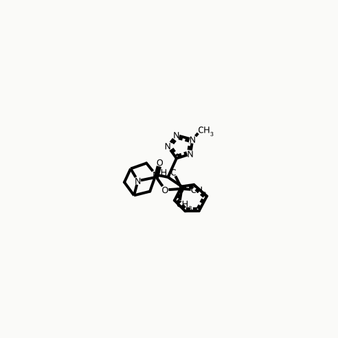 Cn1nnc(C(c2ccccc2)N2CC3CC(C2)N3C(=O)OC(C)(C)C)n1